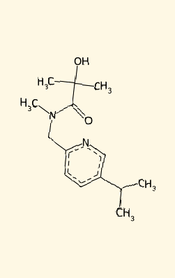 CC(C)c1ccc(CN(C)C(=O)C(C)(C)O)nc1